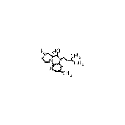 Cc1cnc2c(c1)N(CCC(C)C)C(=O)[C@@H]1CN(I)CCN21